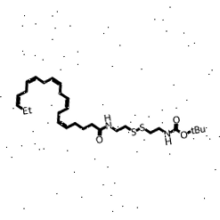 CC/C=C\C/C=C\C/C=C\C/C=C\C/C=C\CCCC(=O)NCCSSCCNC(=O)OC(C)(C)C